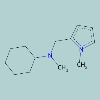 CN(Cc1cccn1C)C1CCCCC1